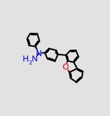 NN(c1ccccc1)c1ccc(-c2cccc3c2oc2ccccc23)cc1